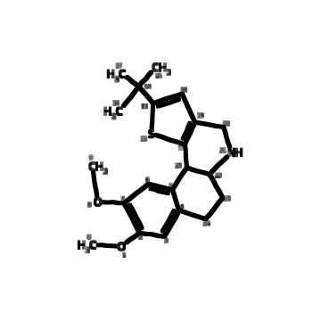 COc1cc2c(cc1OC)C1c3sc(C(C)(C)C)cc3CNC1CC2